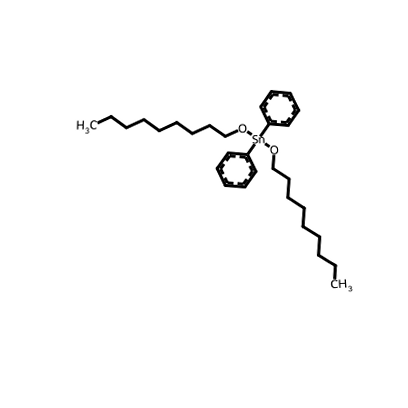 CCCCCCCCC[O][Sn]([O]CCCCCCCCC)([c]1ccccc1)[c]1ccccc1